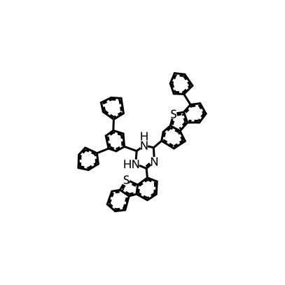 c1ccc(-c2cc(-c3ccccc3)cc(C3NC(c4cccc5c4sc4ccccc45)=NC(c4ccc5c(c4)sc4c(-c6ccccc6)cccc45)N3)c2)cc1